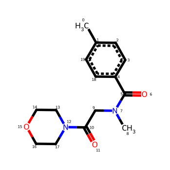 Cc1ccc(C(=O)N(C)CC(=O)N2CCOCC2)cc1